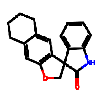 O=C1Nc2ccccc2C12COc1cc3c(cc12)CCCC3